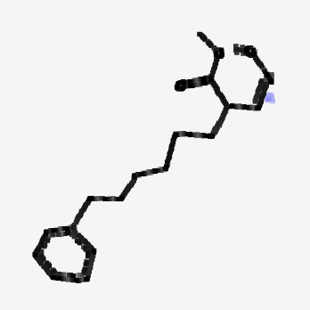 COC(=O)C(/C=N\O)CCCCCCc1ccccc1